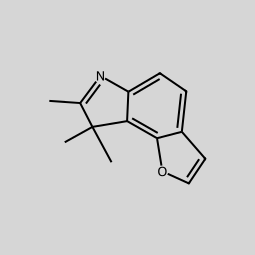 CC1=Nc2ccc3ccoc3c2C1(C)C